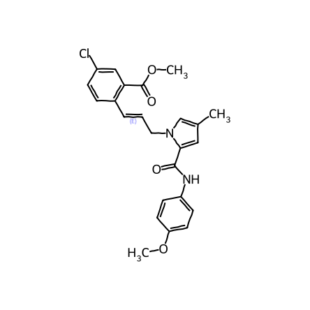 COC(=O)c1cc(Cl)ccc1/C=C/Cn1cc(C)cc1C(=O)Nc1ccc(OC)cc1